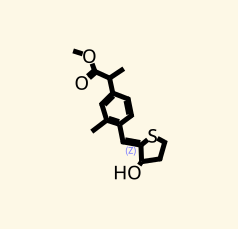 COC(=O)C(C)c1ccc(/C=C2\SCCC2O)c(C)c1